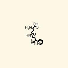 N=S(=O)(CCC(c1ccccn1)C(F)(F)F)CC[C@H](N)C(=O)O